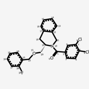 O=C(c1ccc(Cl)c(Cl)c1)N1Cc2ccccc2C[C@H]1COCc1ccccc1F